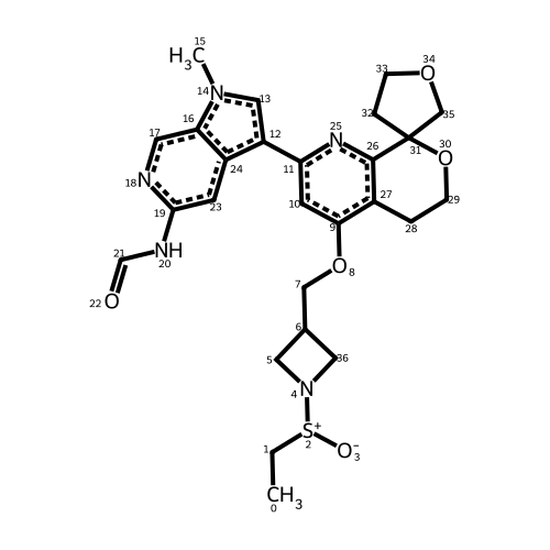 CC[S+]([O-])N1CC(COc2cc(-c3cn(C)c4cnc(NC=O)cc34)nc3c2CCOC32CCOC2)C1